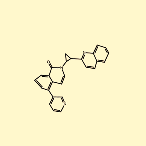 O=c1c2cccc(-c3cccnc3)c2ccn1C1CC1c1ccc2ccccc2n1